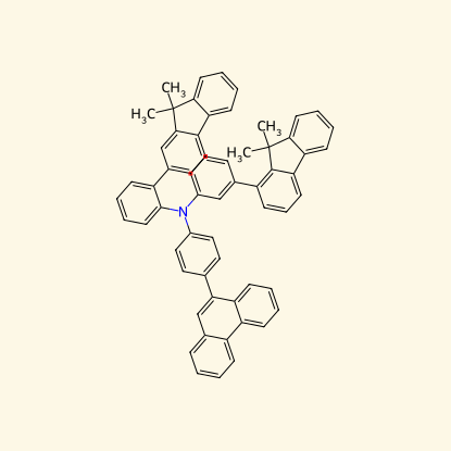 CC1(C)c2ccccc2-c2ccc(-c3ccccc3N(c3ccc(-c4cc5ccccc5c5ccccc45)cc3)c3cccc(-c4cccc5c4C(C)(C)c4ccccc4-5)c3)cc21